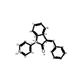 O=C1/C(=C\c2ccccc2)c2ccccc2N1c1ccncc1